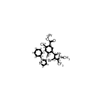 CC(C)OC(=O)c1cc(-c2nn(C)c(C(F)(F)F)c2Br)c(F)cc1Cl.c1ccc(-n2cccn2)cc1